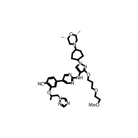 COCCOCCCOc1nn(C2CCC(N3C[C@@H](C)O[C@@H](C)C3)CC2)cc1Nc1ncc(-c2ccc(C#N)c(OC(C)Cn3cncn3)c2)cn1